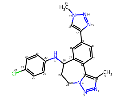 Cc1nnn2c1-c1ccc(-c3cn(C)nn3)cc1C(Nc1ccc(Cl)cc1)CC2